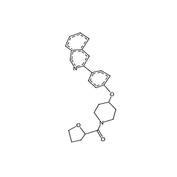 O=C(C1CCCO1)N1CCC(Oc2ccc(-c3cc4ccccc4cn3)cc2)CC1